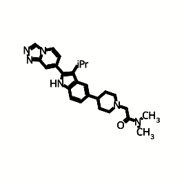 CC(C)c1c(-c2ccn3cnnc3c2)[nH]c2ccc(C3CCN(CC(=O)N(C)C)CC3)cc12